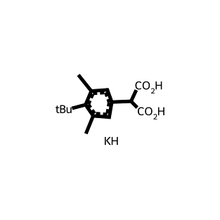 Cc1cc(C(C(=O)O)C(=O)O)cc(C)c1C(C)(C)C.[KH]